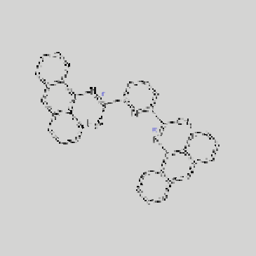 C/C(=N\c1c2ccccc2cc2ccccc12)c1cccc(/C(C)=N/c2c3ccccc3cc3ccccc23)n1